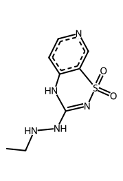 CCNNC1=NS(=O)(=O)c2cnccc2N1